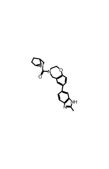 Cc1nc2ccc(-c3ccc4c(c3)CN(C(=O)N3CC5CCC3C5)CCO4)cc2[nH]1